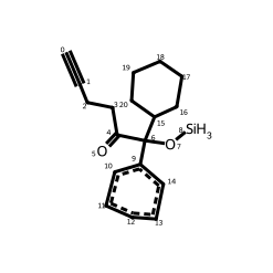 C#CCCC(=O)C(O[SiH3])(c1ccccc1)C1CCCCC1